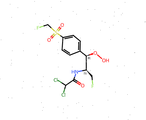 O=C(N[C@H](CF)[C@H](OO)c1ccc(S(=O)(=O)CF)cc1)C(Cl)Cl